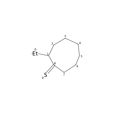 C[CH]C1CCCCCCC1=S